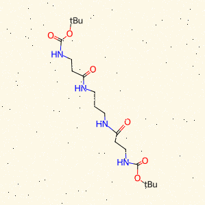 CC(C)(C)OC(=O)NCCC(=O)NCCCNC(=O)CCNC(=O)OC(C)(C)C